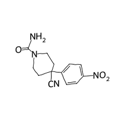 N#CC1(c2ccc([N+](=O)[O-])cc2)CCN(C(N)=O)CC1